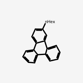 CCCCCCc1ccc2c3ccccc3c3ccccc3c2c1